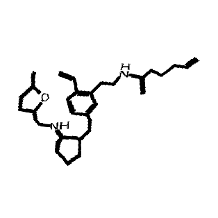 C=CCCCC(=C)NCCc1cc(CC2CCCC2NCC2CCC(C)O2)ccc1C=C